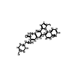 Cc1ccc(-c2nc3[nH]c(=O)c(NCN4CCN(C)CC4)cc3cc2-c2ccc3ncccc3c2)s1